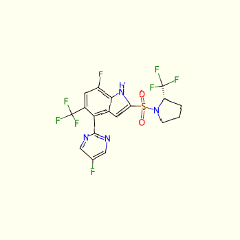 O=S(=O)(c1cc2c(-c3ncc(F)cn3)c(C(F)(F)F)cc(F)c2[nH]1)N1CCC[C@H]1C(F)(F)F